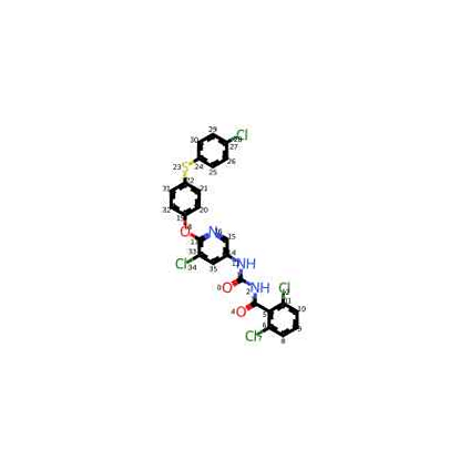 O=C(NC(=O)c1c(Cl)cccc1Cl)Nc1cnc(Oc2ccc(Sc3ccc(Cl)cc3)cc2)c(Cl)c1